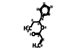 C=CC(=O)OC(CC)n1cccc1